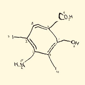 Nc1c(I)cc(C(=O)O)c(O)c1I